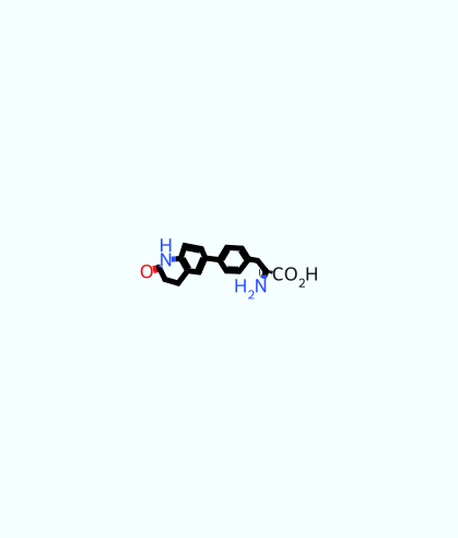 N[C@@H](Cc1ccc(-c2ccc3c(c2)CCC(=O)N3)cc1)C(=O)O